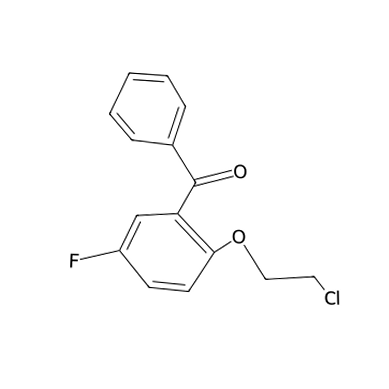 O=C(c1ccccc1)c1cc(F)ccc1OCCCl